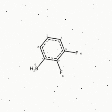 Bc1cccc(F)c1F